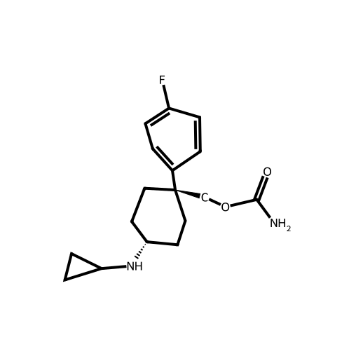 NC(=O)OC[C@]1(c2ccc(F)cc2)CC[C@@H](NC2CC2)CC1